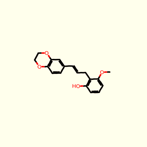 COc1cccc(O)c1CC=Cc1ccc2c(c1)OCCO2